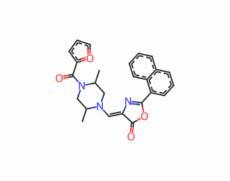 CC1CN(C(=O)c2ccco2)C(C)CN1C=C1N=C(c2cccc3ccccc23)OC1=O